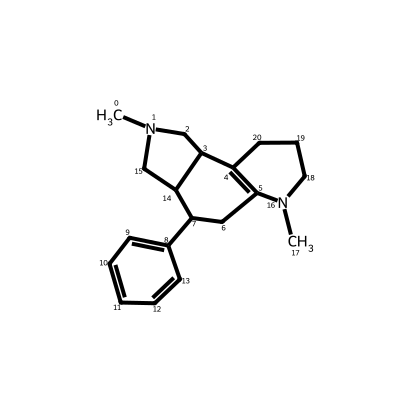 CN1CC2C3=C(CC(c4ccccc4)C2C1)N(C)CCC3